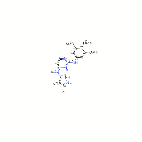 COc1cc(Nc2nccc(N(C)c3[nH]nc(C)c3C)n2)cc(OC)c1OC